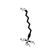 C=CCCCCCCC#C[Si](C)(C)C